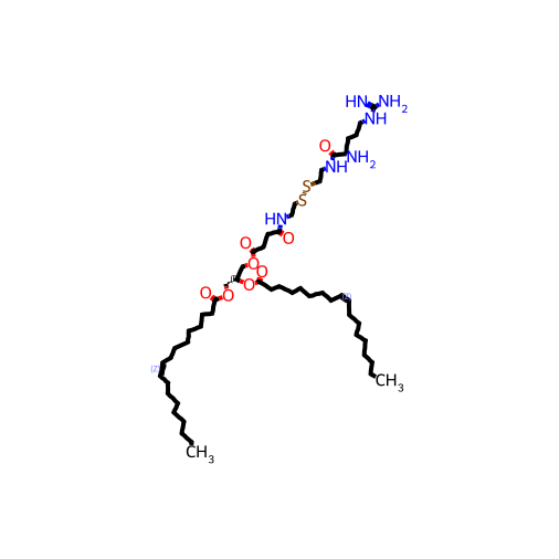 CCCCCCCC/C=C\CCCCCCCC(=O)OC[C@H](COC(=O)CCC(=O)NCCSSCCNC(=O)C(N)CCCNC(=N)N)OC(=O)CCCCCCC/C=C\CCCCCCCC